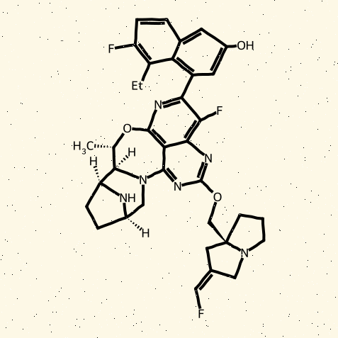 CCc1c(F)ccc2cc(O)cc(-c3nc4c5c(nc(OC[C@@]67CCCN6C/C(=C\F)C7)nc5c3F)N3C[C@H]5CC[C@H](N5)[C@H]3[C@H](C)O4)c12